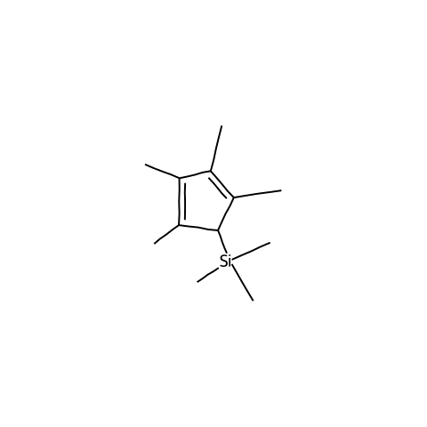 CC1=C(C)C([Si](C)(C)C)C(C)=C1C